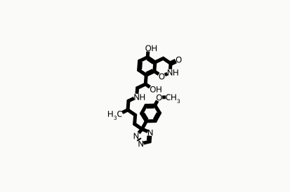 COc1ccc(C2(CCC(C)CNCC(O)c3ccc(O)c4c3ONC(=O)C4)N=CN=N2)cc1